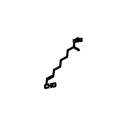 CCCCC(C)CCCCC/C=C/C=O